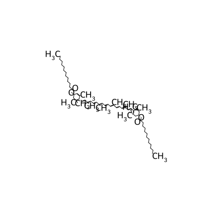 CCCCCCCCCCCCCC(=O)O[C@@H]1CC(C)=C(/C=C/C(C)=C/C=C/C(C)=C/C=C/C=C(C)/C=C/C=C(C)/C=C/[C@H]2C(C)=C[C@H](OC(=O)CCCCCCCCCCCCC)CC2(C)C)C(C)(C)C1